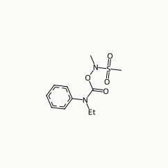 CCN(C(=O)ON(C)S(C)(=O)=O)c1ccccc1